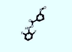 O=Nc1cccc(C(=O)ONc2c(F)cccc2F)c1